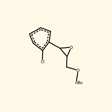 CCCCOCC1OC1c1ccccc1Cl